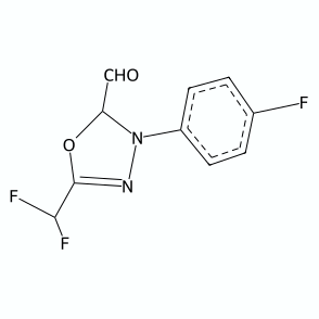 O=CC1OC(C(F)F)=NN1c1ccc(F)cc1